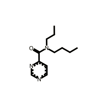 CCCCN(CCC)C(=O)c1ccncn1